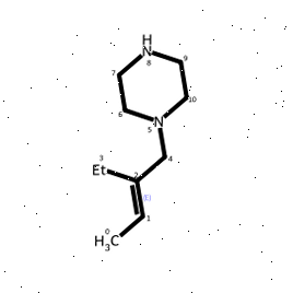 C/C=C(\CC)CN1CCNCC1